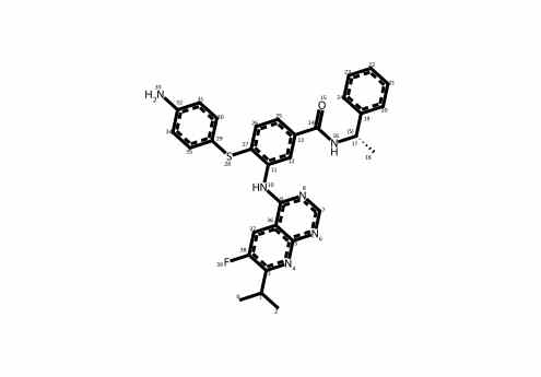 CC(C)c1nc2ncnc(Nc3cc(C(=O)N[C@@H](C)c4ccccc4)ccc3Sc3ccc(N)cc3)c2cc1F